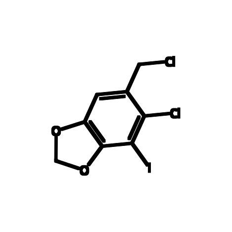 ClCc1cc2c(c(I)c1Cl)OCO2